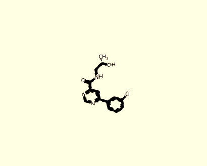 C[C@H](O)CNC(=O)c1cc(-c2cccc(Cl)c2)ncn1